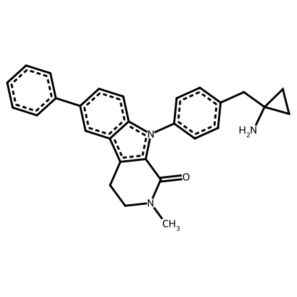 CN1CCc2c(n(-c3ccc(CC4(N)CC4)cc3)c3ccc(-c4ccccc4)cc23)C1=O